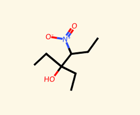 CCC([N+](=O)[O-])C(O)(CC)CC